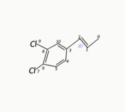 C/C=C/c1ccc(Cl)c(Cl)c1